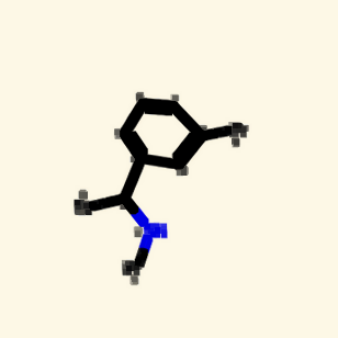 CCC(NC(C)C)c1cccc(C(C)C)c1